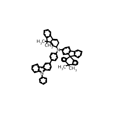 CC1(C)C2=CC(N(c3ccc(-c4ccc5c(c4)c4ccccc4n5-c4ccccc4)cc3)c3ccc4c(c3)C3(c5ccccc5-4)c4ccccc4C(C)(C)c4ccccc43)CC=C2c2ccccc21